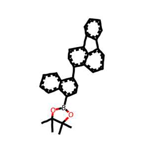 CC1(C)OB(c2ccc(-c3ccc4c5c(cccc35)-c3ccccc3-4)c3ccccc23)OC1(C)C